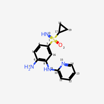 N=S(=O)(c1ccc(N)c(Nc2ccccn2)c1)C1CC1